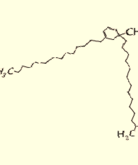 CCCCCCCCCCCCCCC1=CC=CC(C)(CCCCCCCCCCCCCC)C1